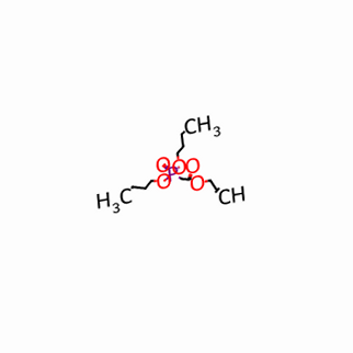 C#CCOC(=O)CP(=O)(OCCCC)OCCCC